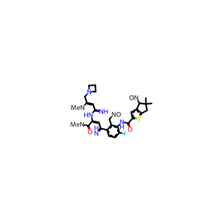 CNC(=O)/C(=C\C(=N)c1ccc(F)c(NC(=O)c2cc3c(s2)CC(C)(C)C3N=O)c1CN=O)NC(=N)/C=C(/CN1CCC1)NC